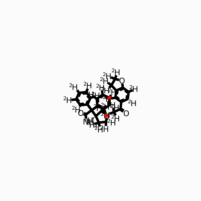 [2H]c1c([2H])c([2H])c(C(C(N)=O)(c2c([2H])c([2H])c([2H])c([2H])c2[2H])[C@@]2([2H])C([2H])([2H])N(C([2H])([2H])C(=O)c3c([2H])c([2H])c4c(c3[2H])C([2H])([2H])C([2H])([2H])O4)C([2H])([2H])C2([2H])[2H])c([2H])c1[2H]